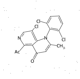 CC(=O)c1ncc(Cl)c2c1c(=O)cc(C)n2-c1c(Cl)cccc1Cl